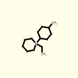 CC[N+]1(C2CCC(C)CC2)CCCCC1